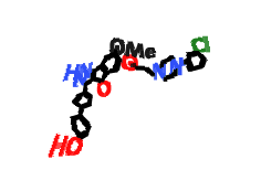 COc1cc2c(cc1OCCCN1CCN(c3cccc(Cl)c3)CC1)C(=O)c1c(-c3ccc(-c4ccc(O)cc4)cc3)n[nH]c1-2